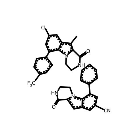 Cc1c2n(c3c(-c4ccc(C(F)(F)F)cc4)cc(Cl)cc13)CCNC2=O.N#Cc1cc(-c2ccccc2)c2c(c1)cc1n2CCNC1=O